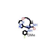 COc1c(F)cccc1Nc1c2[nH]c3c1C(=O)NC[C@@H]3C/C=C\COc1ccn3ncc-2c3n1